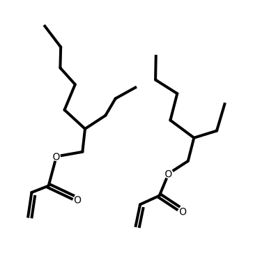 C=CC(=O)OCC(CC)CCCC.C=CC(=O)OCC(CCC)CCCCC